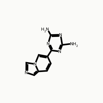 Nc1nc(N)nc(-c2ccc3cncn3c2)n1